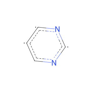 [c]1[c]n[c]nc1